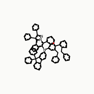 c1ccc(Cc2ccccc2-c2ccc(N(c3ccc4c(c3)C(c3ccccc3)(c3ccccc3)c3ccccc3-4)c3c(-c4ccccc4)n4nc(-c5ccccc5)c(-c5ccccc5)c4c4ccccc34)cc2Cc2ccccc2)cc1